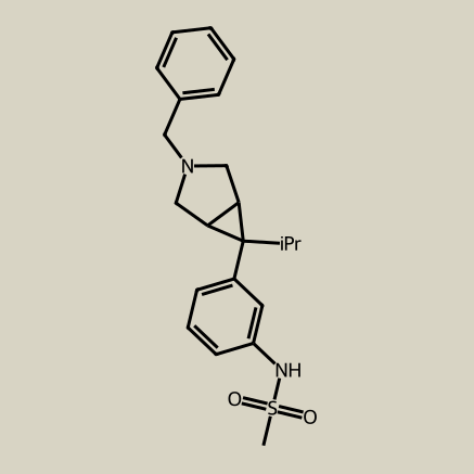 CC(C)C1(c2cccc(NS(C)(=O)=O)c2)C2CN(Cc3ccccc3)CC21